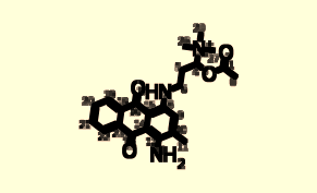 CC(=O)OC(CCNc1cc(C)c(N)c2c1C(=O)c1ccccc1C2=O)[N+](C)(C)C